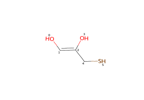 OC=C(O)CS